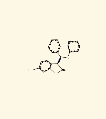 Nc1ccc2c(c1)NC(=O)/C2=C(\Nc1ccccc1)c1ccccc1